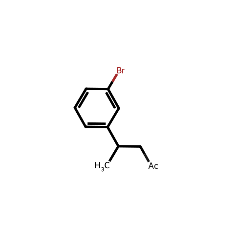 C[C](CC(C)=O)c1cccc(Br)c1